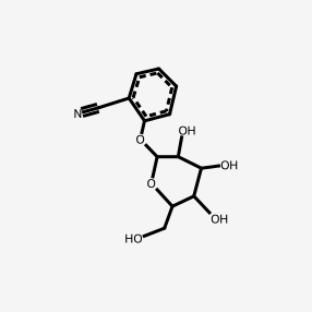 N#Cc1ccccc1OC1OC(CO)C(O)C(O)C1O